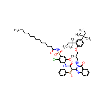 CCCCCCCCCCCCC(=O)NS(=O)(=O)c1cc(OC)c(NC(=O)C(c2nc3ccccc3c(=O)n2NCCCOc2ccc(C(C)(C)CC)cc2C(C)(C)CC)[S+]([O-])c2ccccc2)cc1Cl